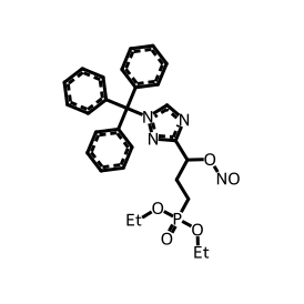 CCOP(=O)(CCC(ON=O)c1ncn(C(c2ccccc2)(c2ccccc2)c2ccccc2)n1)OCC